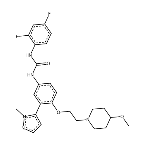 COC1CCN(CCOc2ccc(NC(=O)Nc3ccc(F)cc3F)cc2-c2ccnn2C)CC1